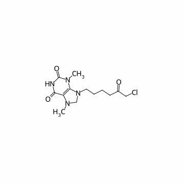 CN1CN(CCCCC(=O)CCl)c2c1c(=O)[nH]c(=O)n2C